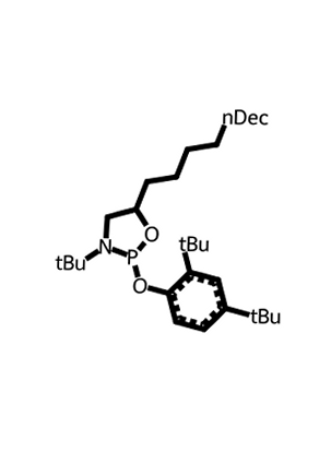 CCCCCCCCCCCCCCC1CN(C(C)(C)C)P(Oc2ccc(C(C)(C)C)cc2C(C)(C)C)O1